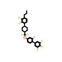 CCCc1ccc(C2CCC(C(F)(F)Oc3ccc(-c4cc(F)c(F)c(F)c4)c(F)c3)CC2)c(F)c1F